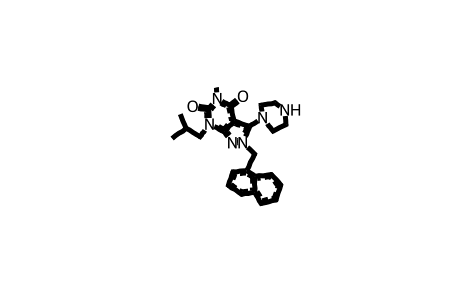 CC(C)Cn1c(=O)n(C)c(=O)c2c(N3CCNCC3)n(Cc3cccc4ccccc34)nc21